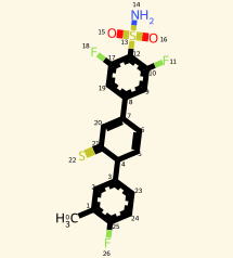 Cc1cc(C2C=CC(c3cc(F)c(S(N)(=O)=O)c(F)c3)=CC2=S)ccc1F